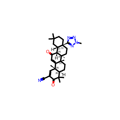 Cn1nnc([C@]23CCC(C)(C)C[C@H]2[C@H]2C(=O)C=C4[C@@]5(C)C=C(C#N)C(=O)C(C)(C)[C@@H]5CC[C@@]4(C)[C@]2(C)CC3)n1